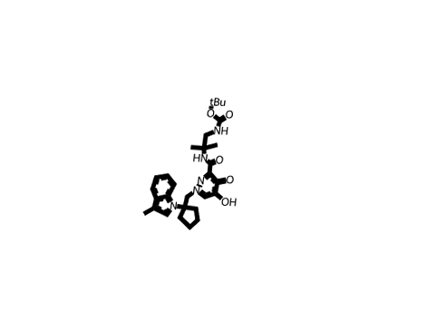 Cc1cn(C2(Cn3cc(O)c(=O)c(C(=O)NC(C)(C)CNC(=O)OC(C)(C)C)n3)CCCC2)c2ccccc12